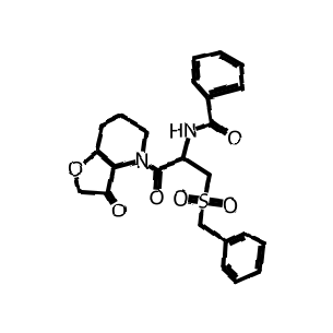 O=C(NC(CS(=O)(=O)Cc1ccccc1)C(=O)N1CCCC2OCC(=O)C21)c1ccccc1